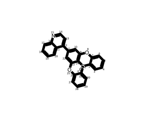 O=P12c3ccccc3Oc3cc(-c4ccnc5ccccc45)cc(c31)Oc1ccccc12